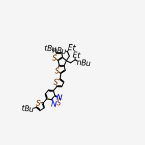 CCCCC(CC)CC1(CC(CC)CCCC)c2cc(-c3ccc(-c4ccc(-c5ccc(C(C)(C)C)s5)c5nsnc45)s3)sc2-c2sc(C(C)(C)C)cc21